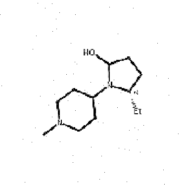 CC[C@H]1CCC(O)N1C1CCN(C)CC1